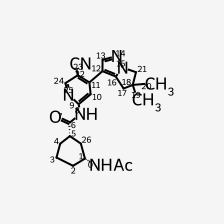 CC(=O)N[C@@H]1CCC[C@H](C(=O)Nc2cc(-c3cnn4c3CC(C)(C)C4)c(C#N)cn2)C1